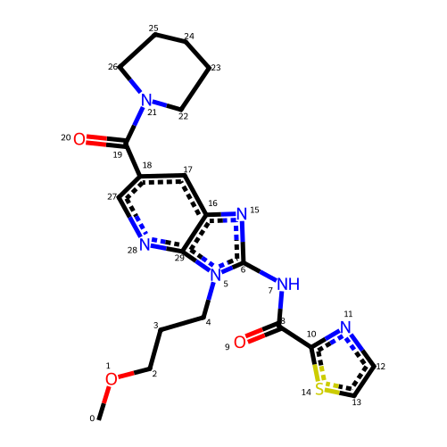 COCCCn1c(NC(=O)c2nccs2)nc2cc(C(=O)N3CCCCC3)cnc21